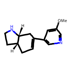 COc1cncc(C2=CC[C@@H]3CCN[C@@H]3C2)c1